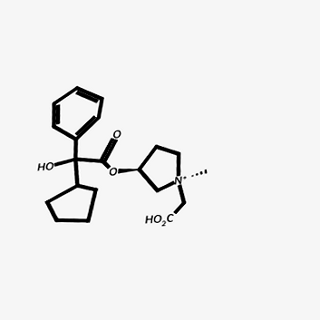 C[N@@+]1(CC(=O)O)CC[C@H](OC(=O)C(O)(c2ccccc2)C2CCCC2)C1